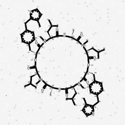 Cc1ccsc1Cc1ccc(C[C@H]2OC(=O)[C@H](CC(C)C)N(C)C(=O)[C@@H](C)OC(=O)[C@H](CC(C)C)N(C)C(=O)[C@@H](Cc3ccc(Cc4sccc4C)cc3)OC(=O)[C@H](CC(C)C)N(C)C(=O)[C@@H](C)OC(=O)[C@H](CC(C)C)N(C)C2=O)cc1